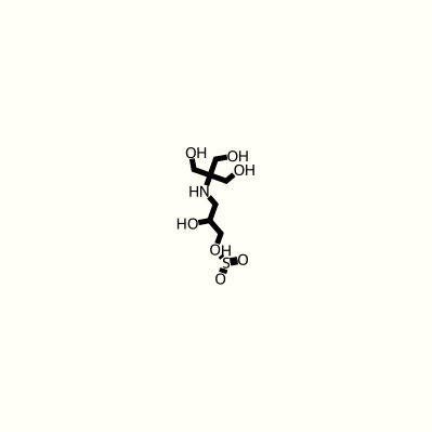 O=[SH](=O)OCC(O)CNC(CO)(CO)CO